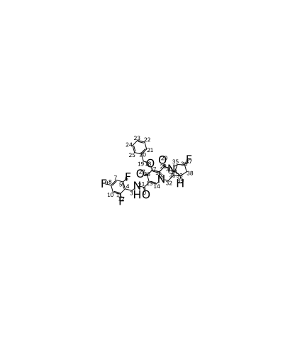 O=C(NCc1c(F)cc(F)cc1F)c1cn2c(c(OCc3ccccc3)c1=O)C(=O)N1C(C2)[C@@H]2CC1[C@@H](F)C2